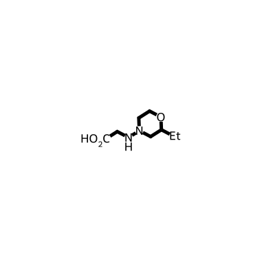 CCC1CN(NCC(=O)O)CCO1